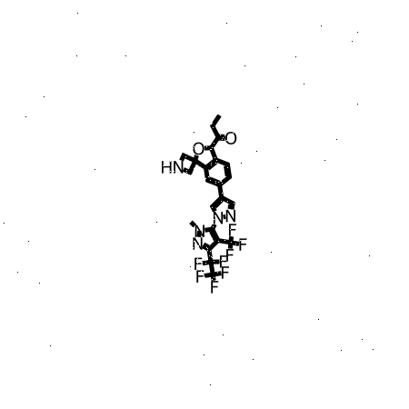 CCC(=O)C1OC2(CNC2)c2cc(-c3cnn(-c4c(C(F)(F)F)c(C(F)(F)C(F)(F)F)nn4C)c3)ccc21